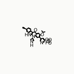 C#Cc1ccc2c(c1)[nH]c1c2c(=O)c2cc(OC(C)C)c(-c3cncc(OS(=O)(=O)F)c3)cc2n1C1CNC1